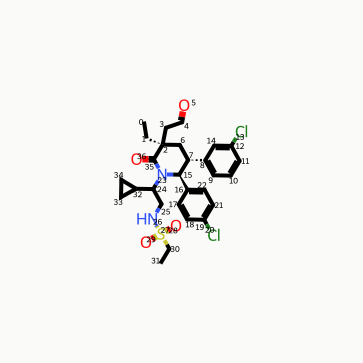 CC[C@]1(CC=O)C[C@H](c2cccc(Cl)c2)[C@@H](c2ccc(Cl)cc2)N(C(CNS(=O)(=O)CC)C2CC2)C1=O